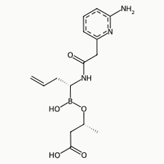 C=CC[C@H](NC(=O)Cc1cccc(N)n1)B(O)O[C@H](C)CC(=O)O